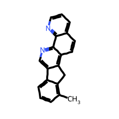 Cc1cccc2c1Cc1c-2cnc2c1ccc1cccnc12